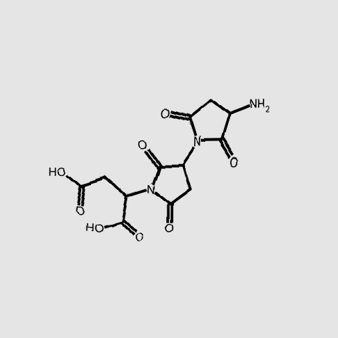 NC1CC(=O)N(C2CC(=O)N(C(CC(=O)O)C(=O)O)C2=O)C1=O